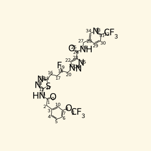 O=C(Cc1cccc(OC(F)(F)F)c1)Nc1nnc(CCC(F)Cn2cc(C(=O)NCc3ccc(C(F)(F)F)nc3)nn2)s1